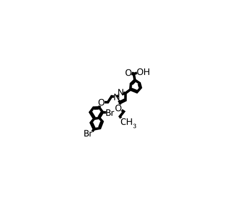 CCCOc1cc(-c2cccc(C(=O)O)c2)nn1CCOc1ccc2cc(Br)ccc2c1Br